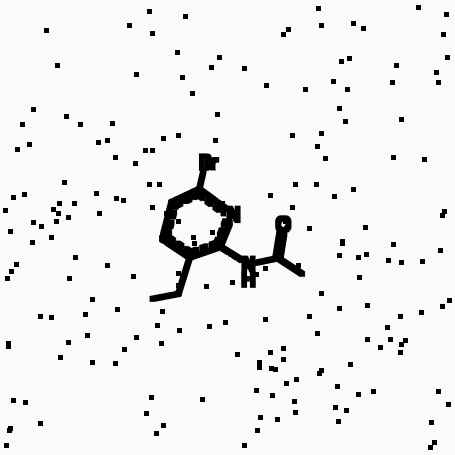 CCc1ccc(Br)nc1NC(C)=O